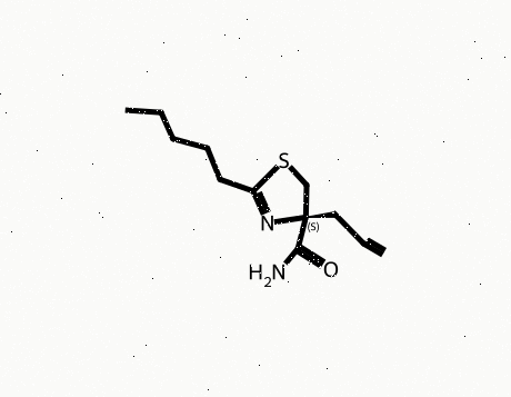 C=CC[C@]1(C(N)=O)CSC(CCCCC)=N1